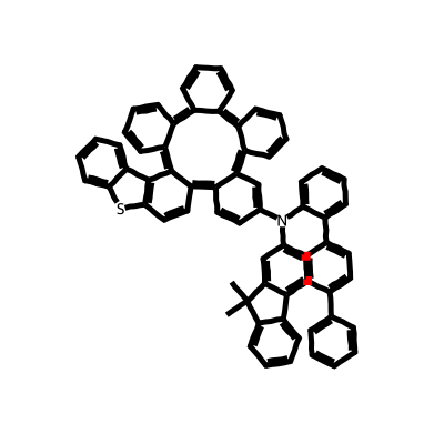 CC1(C)c2ccccc2-c2ccc(N(c3ccc4c(c3)c3ccccc3c3ccccc3c3ccccc3c3c4ccc4sc5ccccc5c43)c3ccccc3-c3ccc(-c4ccccc4)cc3)cc21